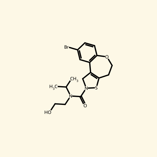 CC(C)N(CCO)C(=O)N1CC2=C(CCOc3ccc(Br)cc32)S1